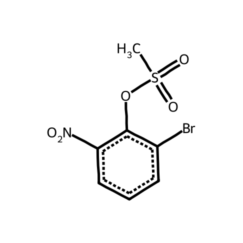 CS(=O)(=O)Oc1c(Br)cccc1[N+](=O)[O-]